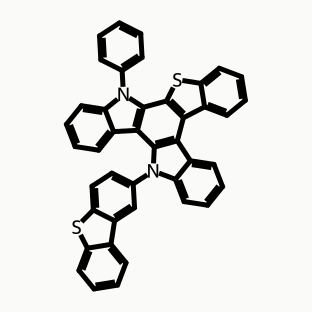 c1ccc(-n2c3ccccc3c3c2c2sc4ccccc4c2c2c4ccccc4n(-c4ccc5sc6ccccc6c5c4)c23)cc1